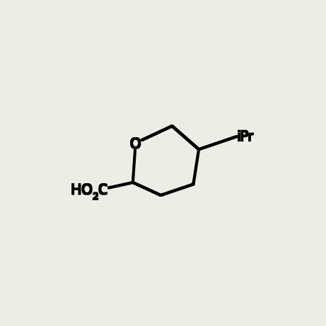 CC(C)C1CCC(C(=O)O)OC1